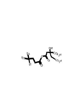 CCC(CC)(CC)CCC(=O)OC(=O)CC(O)(CC(=O)O)C(=O)O